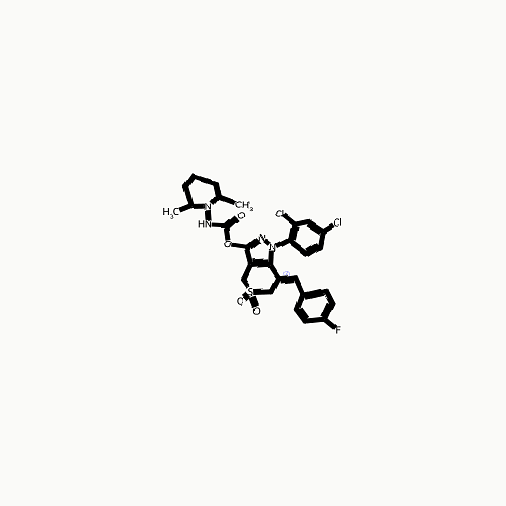 CC1CCCC(C)N1NC(=O)Oc1nn(-c2ccc(Cl)cc2Cl)c2c1CS(=O)(=O)C/C2=C\c1ccc(F)cc1